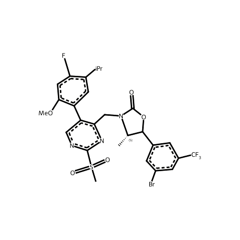 COc1cc(F)c(C(C)C)cc1-c1cnc(S(C)(=O)=O)nc1CN1C(=O)OC(c2cc(Br)cc(C(F)(F)F)c2)[C@@H]1C